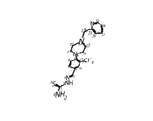 NC(=S)N/N=C/c1ccc(N2CCN(Cc3ccccn3)CC2)c(C(F)(F)F)c1